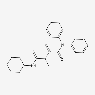 C=C(C(=O)N(c1ccccc1)c1ccccc1)C(C)C(=O)NC1CCCCC1